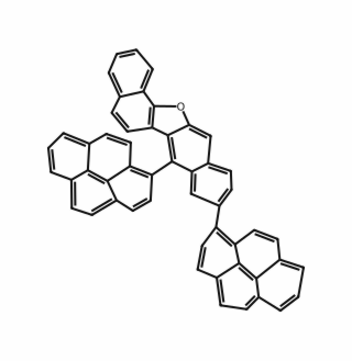 c1ccc2c(c1)ccc1c2oc2cc3ccc(-c4ccc5ccc6cccc7ccc4c5c67)cc3c(-c3ccc4ccc5cccc6ccc3c4c56)c21